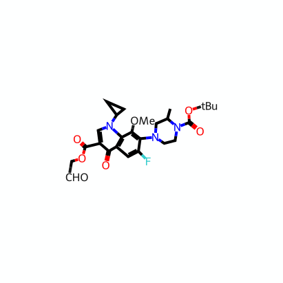 COc1c(N2CCN(C(=O)OC(C)(C)C)C(C)C2)c(F)cc2c(=O)c(C(=O)OCC=O)cn(C3CC3)c12